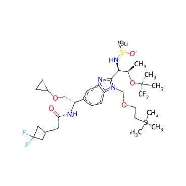 C[C@@H](OC(C)(C)C(F)(F)F)[C@H](N[S@+]([O-])C(C)(C)C)c1nc2cc([C@@H](COC3CC3)NC(=O)CC3CC(F)(F)C3)ccc2n1COCC[Si](C)(C)C